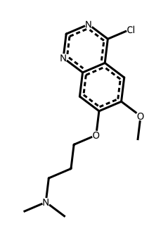 COc1cc2c(Cl)ncnc2cc1OCCCN(C)C